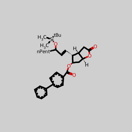 CCCCCC(/C=C/[C@@H]1[C@H]2CC(=O)O[C@H]2C[C@H]1OC(=O)c1ccc(-c2ccccc2)cc1)O[Si](C)(C)C(C)(C)C